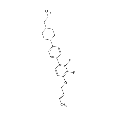 C/C=C/COc1ccc(-c2ccc(C3CCC(CCC)CC3)cc2)c(F)c1F